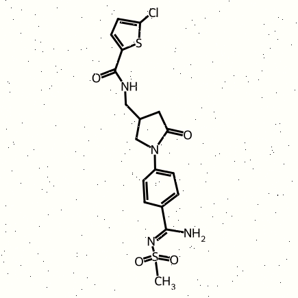 CS(=O)(=O)/N=C(\N)c1ccc(N2CC(CNC(=O)c3ccc(Cl)s3)CC2=O)cc1